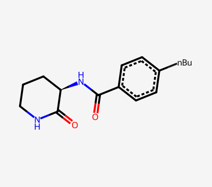 CCCCc1ccc(C(=O)N[C@@H]2CCCNC2=O)cc1